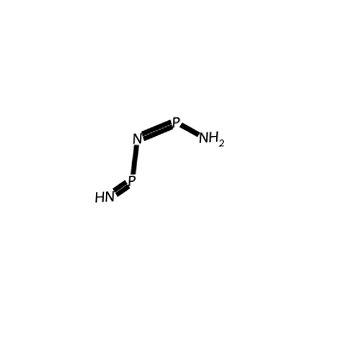 N=P/N=P\N